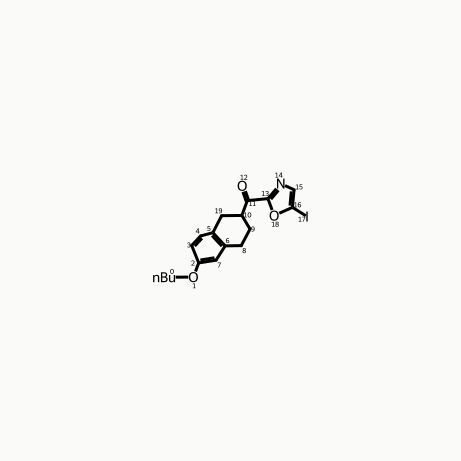 CCCCOc1ccc2c(c1)CCC(C(=O)c1ncc(I)o1)C2